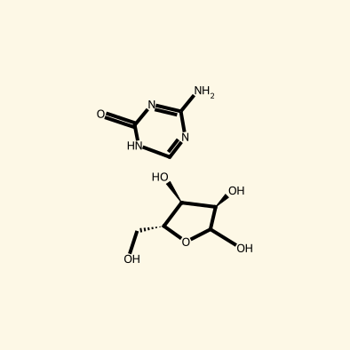 Nc1nc[nH]c(=O)n1.OC[C@H]1OC(O)[C@H](O)[C@@H]1O